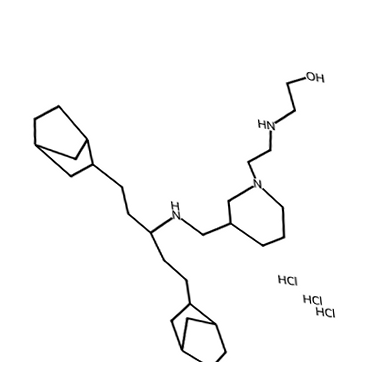 Cl.Cl.Cl.OCCNCCN1CCCC(CNC(CCC2CC3CCC2C3)CCC2CC3CCC2C3)C1